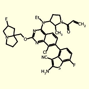 C=CC(=O)N1CCC(N(CC)c2nc(OCC34CCCN3CC(F)C4)nc3c(Cl)c(-c4ccc(F)c5sc(N)c(C#N)c45)ccc23)C1C